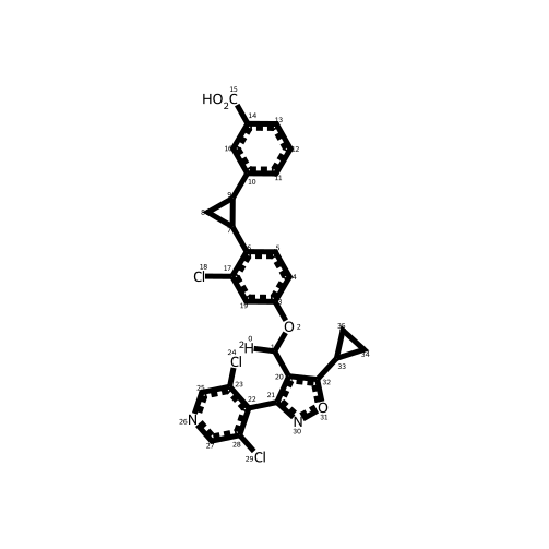 [2H]C(Oc1ccc(C2CC2c2cccc(C(=O)O)c2)c(Cl)c1)c1c(-c2c(Cl)cncc2Cl)noc1C1CC1